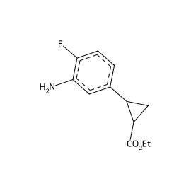 CCOC(=O)C1CC1c1ccc(F)c(N)c1